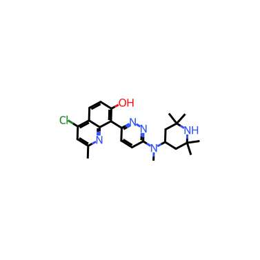 Cc1cc(Cl)c2ccc(O)c(-c3ccc(N(C)C4CC(C)(C)NC(C)(C)C4)nn3)c2n1